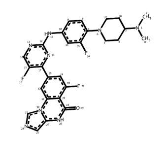 CN(C)C1CCN(c2ccc(Nc3ncc(F)c(-c4cc(F)c5c(=O)[nH]c6cncn6c5c4)n3)cc2F)CC1